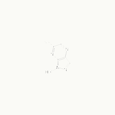 Cn1ncc2ncc(Cl)nc21